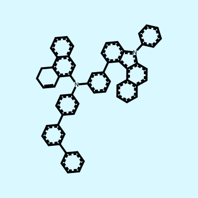 C1=Cc2c(N(c3ccc(-c4cccc(-c5ccccc5)c4)cc3)c3cccc(-c4cccc5c4c4c6ccccc6ccc4n5-c4ccccc4)c3)cc3ccccc3c2CC1